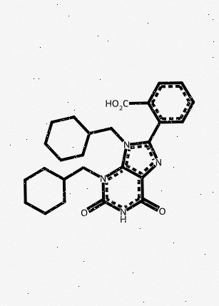 O=C(O)c1ccccc1-c1nc2c(=O)[nH]c(=O)n(CC3CCCCC3)c2n1CC1CCCCC1